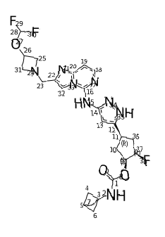 O=C(NC12CC(C1)C2)O[C@H]1C[C@@H](c2cc(Nc3nccc4nc(CN5CC(OC(F)F)C5)cn34)n[nH]2)C[C@H]1F